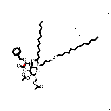 CCCCCCCCCCCCCCCCCCN(C(=O)CCCCCCCCCCC)[C@@H]1O[C@H](COC(C)=O)[C@@H](OC(C)=O)[C@H](OC(C)=O)[C@H]1NC(=O)OCc1ccccc1